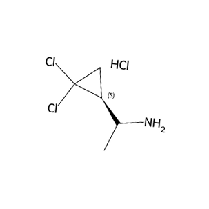 CC(N)[C@@H]1CC1(Cl)Cl.Cl